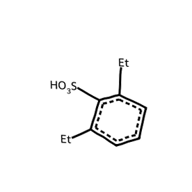 CCc1cccc(CC)c1S(=O)(=O)O